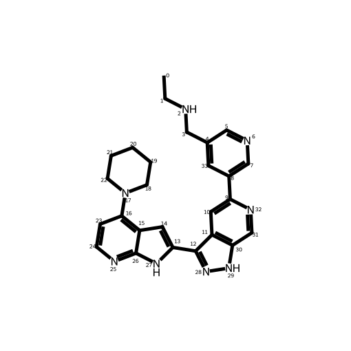 CCNCc1cncc(-c2cc3c(-c4cc5c(N6CCCCC6)ccnc5[nH]4)n[nH]c3cn2)c1